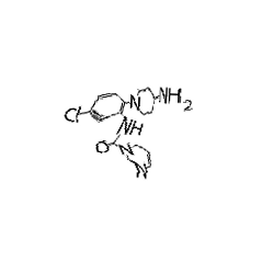 NC1CCN(c2ccc(Cl)cc2NC(=O)N2C=NC=CC2)CC1